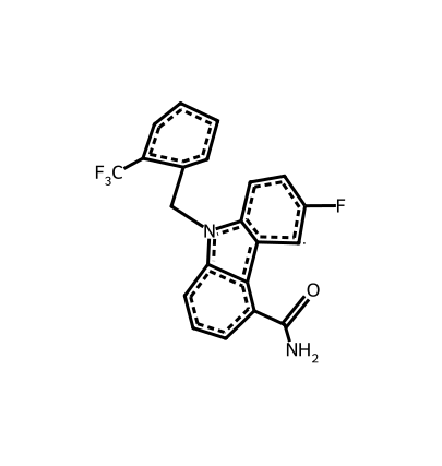 NC(=O)c1cccc2c1c1[c]c(F)ccc1n2Cc1ccccc1C(F)(F)F